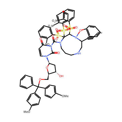 CCCCC#CC1CNCCCN(C(=O)n2c(=O)ccn([C@H]3C[C@H](O)[C@@H](COC(c4ccccc4)(c4ccc(OC)cc4)c4ccc(OC)cc4)O3)c2=O)C(S(=O)(=O)c2ccccc2[N+](=O)[O-])(S(=O)(=O)c2ccccc2[N+](=O)[O-])C(S(=O)(=O)c2ccccc2[N+](=O)[O-])N1Oc1ccccc1